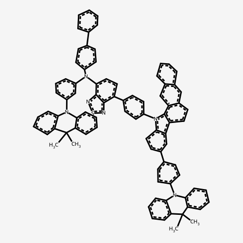 CC1(C)c2ccccc2N(c2ccc(-c3ccc4c(c3)c3ccc5cc6ccccc6cc5c3n4-c3ccc(-c4ccc(N(c5ccc(-c6ccccc6)cc5)c5cccc(N6c7ccccc7C(C)(C)c7ccccc76)c5)c5nsnc45)cc3)cc2)c2ccccc21